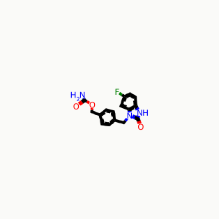 NC(=O)OCc1ccc(Cn2c(=O)[nH]c3ccc(F)cc32)cc1